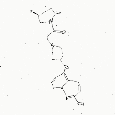 C[C@@H]1C[C@H](F)CN1C(=O)CN1CCC(Oc2cccc3nc(C#N)ccc23)CC1